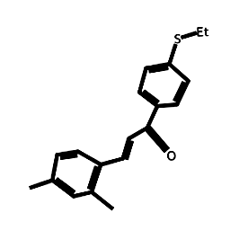 CCSc1ccc(C(=O)C=Cc2ccc(C)cc2C)cc1